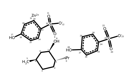 CC(C)[C@@H]1CC[C@@H](C)C[C@H]1O.O=S(=O)([O-])c1ccc(O)cc1.O=S(=O)([O-])c1ccc(O)cc1.[Zn+2]